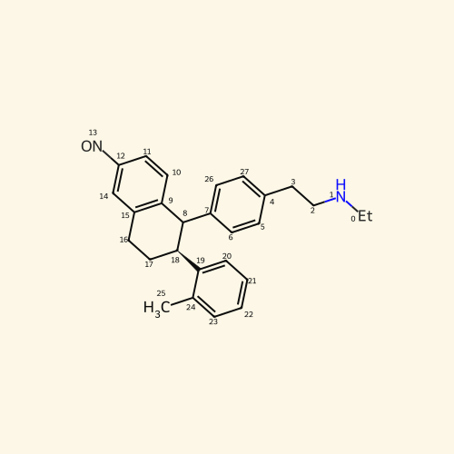 CCNCCc1ccc(C2c3ccc(N=O)cc3CC[C@@H]2c2ccccc2C)cc1